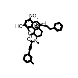 Cc1cccc(C#CC(=O)N(C)[C@@H]2CC[C@H]3[C@H]4Cc5c([N+](=O)[O-])cc(O)c6c5[C@@]3(CCN4CCc3ccccc3)[C@H]2O6)c1